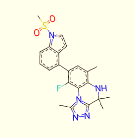 Cc1cc(-c2cccc3c2ccn3S(C)(=O)=O)c(F)c2c1NC(C)(C)c1nnc(C)n1-2